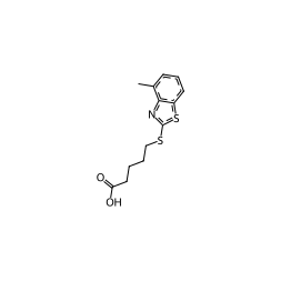 Cc1cccc2sc(SCCCCC(=O)O)nc12